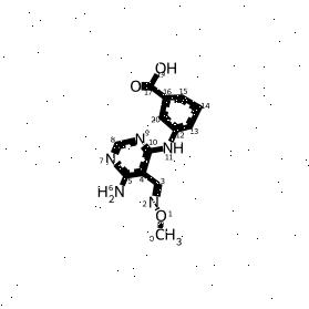 CON=Cc1c(N)ncnc1Nc1cccc(C(=O)O)c1